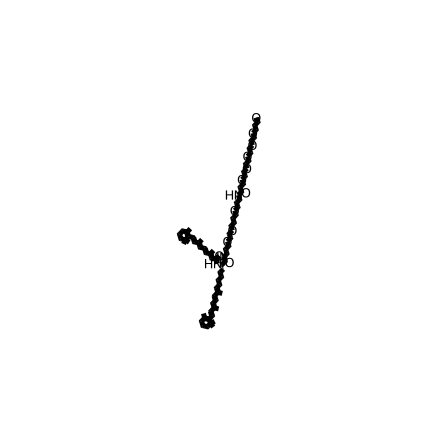 CC1=C(/C=C/C(C)=C/C=C/C(C)=C/CCCCC[C@H](NC(=O)/C=C(C)/C=C/C=C(C)/C=C/C2=C(C)CCCC2(C)C)C(=O)NCCCOCCOCCCCOCCCNC(=O)CCOCCOCCOCCOCCOCCC=O)C(C)(C)CCC1